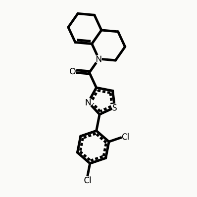 O=C(c1csc(-c2ccc(Cl)cc2Cl)n1)N1CCCC2CCCC=C21